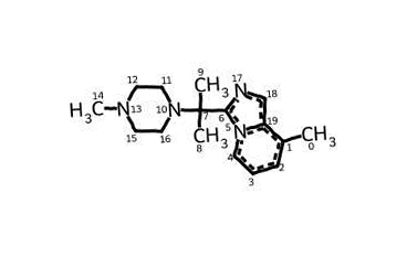 Cc1cccn2c(C(C)(C)N3CCN(C)CC3)ncc12